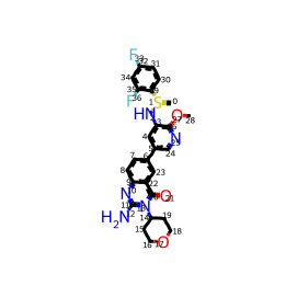 C=S(Nc1cc(-c2ccc3nc(N)n(C4CCOCC4)c(=O)c3c2)cnc1OC)c1ccc(F)cc1F